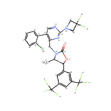 CC1C(c2cc(C(F)(F)F)cc(C(F)(F)F)c2)OC(=O)N1Cc1nc(N2CC(F)(F)C2)ncc1-c1ccccc1Cl